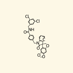 O=C(NCc1cc(Cl)cc(Cl)c1)c1ccc(CN2C(=O)C3(COc4cc5c(cc43)OCO5)c3ccccc32)cc1